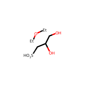 CCOCC.O=S(=O)(O)CC(O)CO